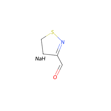 O=CC1=NSCC1.[NaH]